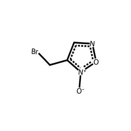 [O-][n+]1oncc1CBr